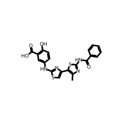 Cc1nc(NC(=O)c2ccccc2)sc1-c1csc(Nc2ccc(O)c(C(=O)O)c2)n1